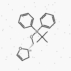 CC(C)(C)[Si](OC[C@@H]1CC=CO1)(c1ccccc1)c1ccccc1